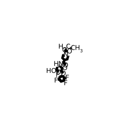 CC(C)OC(=O)N1CCC(C(=O)N[C@@H](CC(=O)O)C(=O)COc2c(F)c(F)cc(F)c2F)CC1